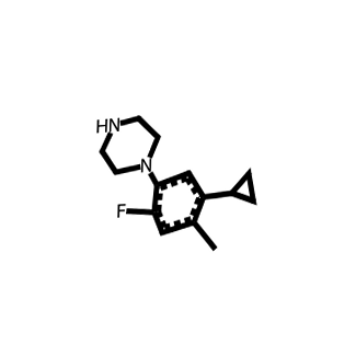 Cc1cc(F)c(N2CCNCC2)cc1C1CC1